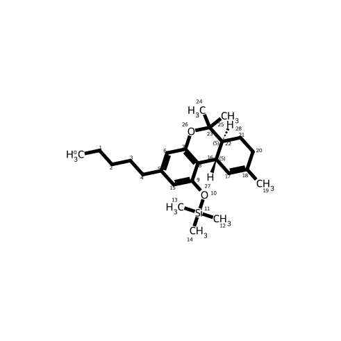 CCCCCc1cc2c(c(O[Si](C)(C)C)c1)[C@H]1C=C(C)CC[C@@H]1C(C)(C)O2